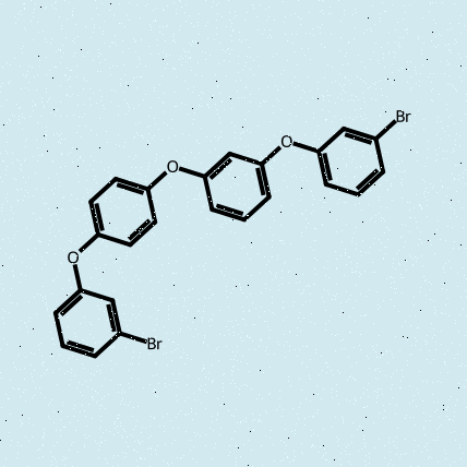 Brc1cccc(Oc2ccc(Oc3cccc(Oc4cccc(Br)c4)c3)cc2)c1